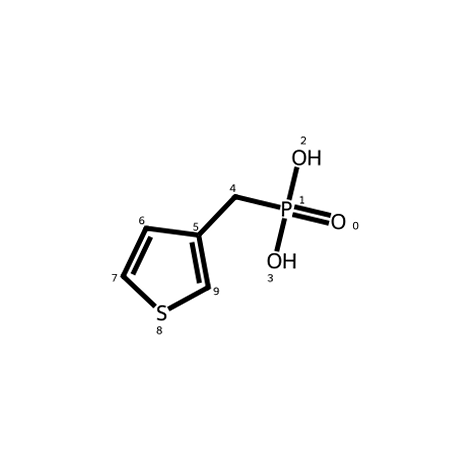 O=P(O)(O)Cc1ccsc1